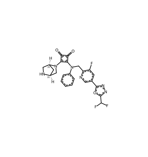 O=c1c(N(Cc2ncc(-c3nnc(C(F)F)o3)cc2F)c2ccccc2)c(N2C[C@@H]3C[C@H]2CN3)c1=O